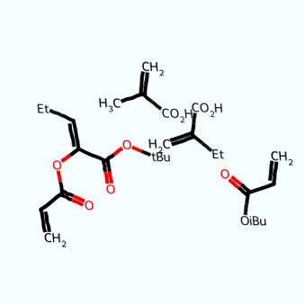 C=C(C)C(=O)O.C=C(CC)C(=O)O.C=CC(=O)OC(=CCC)C(=O)OC(C)(C)C.C=CC(=O)OCC(C)C